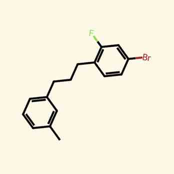 Cc1cccc(CCCc2ccc(Br)cc2F)c1